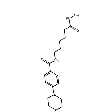 O=C(CCCCCNC(=O)c1ccc(N2CCOCC2)cc1)NO